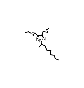 CCCCCCCC(C)n1nc(CSC)c(CSCC)n1